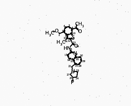 COCc1ccc(C(C)=O)c2sc(C(=O)Nc3ccc4c(CN5CC[C@@H](F)C5)cccc4n3)c(C)c12